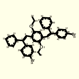 CCOc1cc(C=C(c2ccccc2)c2ccc(Br)cc2)c(OCC)cc1C=C(c1ccccc1)c1ccc(Br)cc1